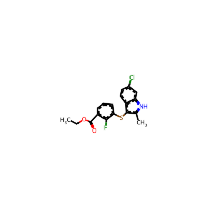 CCOC(=O)c1cccc(Sc2c(C)[nH]c3cc(Cl)ccc23)c1F